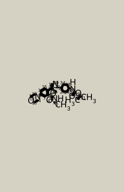 CCNS(=O)(=O)c1cc(N2CCOCC2)ccc1-c1cnc([C@H]2CC[C@H](NC(=O)OC(C)C)CC2)s1